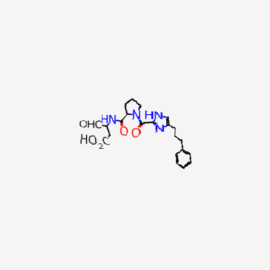 O=CC(CC(=O)O)NC(=O)[C@H]1CCCN1C(=O)c1nc(CCCc2ccccc2)c[nH]1